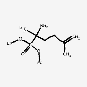 C=C(C)CCC(C)(N)P(=O)(OCC)OCC